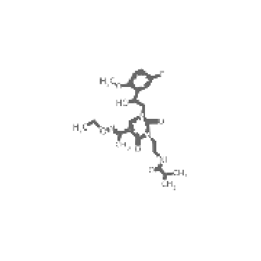 CCO/N=C(\C)c1cn(CC(O)c2cc(F)ccc2OC)c(=O)n(CCNC(=O)C(C)C)c1=O